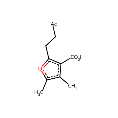 CC(=O)CCc1oc(C)c(C)c1C(=O)O